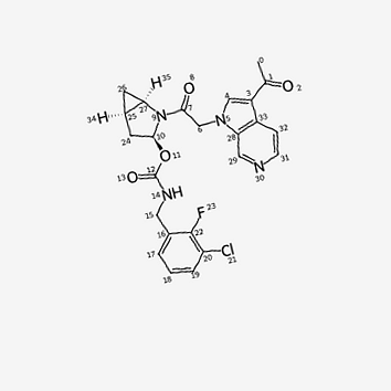 CC(=O)c1cn(CC(=O)N2[C@@H](OC(=O)NCc3cccc(Cl)c3F)C[C@H]3C[C@H]32)c2cnccc12